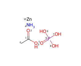 CC(=O)O.N.O=P(O)(O)O.[Zn]